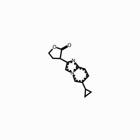 O=C1OCCC1c1cn2cc(C3CC3)ccc2n1